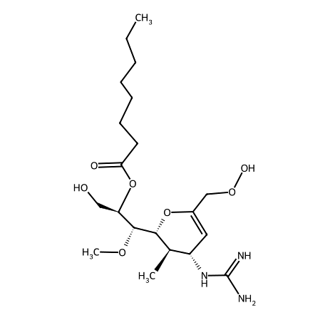 CCCCCCCC(=O)O[C@H](CO)[C@@H](OC)[C@@H]1OC(COO)=C[C@H](NC(=N)N)[C@H]1C